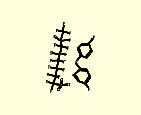 Fc1ccc([I+]c2ccc(F)cc2)cc1.O=S(=O)([O-])C(F)(F)C(F)(F)C(F)(F)C(F)(F)C(F)(F)C(F)(F)C(F)(F)C(F)(F)F